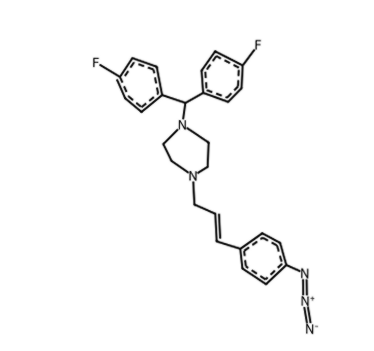 [N-]=[N+]=Nc1ccc(/C=C/CN2CCN(C(c3ccc(F)cc3)c3ccc(F)cc3)CC2)cc1